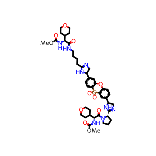 COC(=O)N[C@H](C(=O)NCCCCC1=NCC(c2ccc3c(c2)Oc2ccc(C4CN=C([C@@H]5CCCN5C(=O)[C@@H](NC(=O)OC)C5CCOCC5)N4)cc2S3(=O)=O)N1)C1CCOCC1